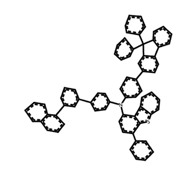 c1ccc(-c2ccc(N(c3ccc(-c4cccc(-c5cccc6ccccc56)c4)cc3)c3ccc(-c4ccc5c(c4)C(c4ccccc4)(c4ccccc4)c4ccccc4-5)cc3)c3c2sc2ccccc23)cc1